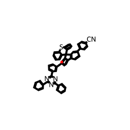 N#Cc1ccc(-c2ccc3c(c2)C2(c4ccccc4Sc4ccccc42)c2cc(-c4cccc(-c5nc(-c6ccccc6)nc(-c6ccccc6)n5)c4)ccc2-3)cc1